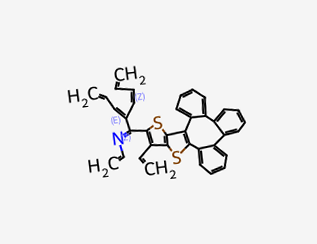 C=C\C=C/C(=C\C=C)C(=N/C=C)/c1sc2c3c(sc2c1C=C)-c1ccccc1-c1ccccc1-c1ccccc1-3